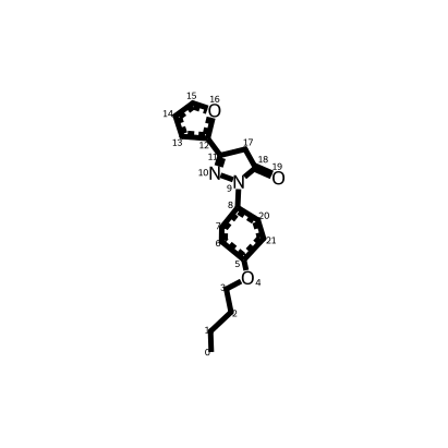 CCCCOc1ccc(N2N=C(c3ccco3)CC2=O)cc1